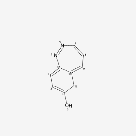 OC1=CC=C2N=NC=CC=C2C1